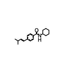 CC(C)/C=C/c1ccc(C(=O)NC2CCCCC2)cc1